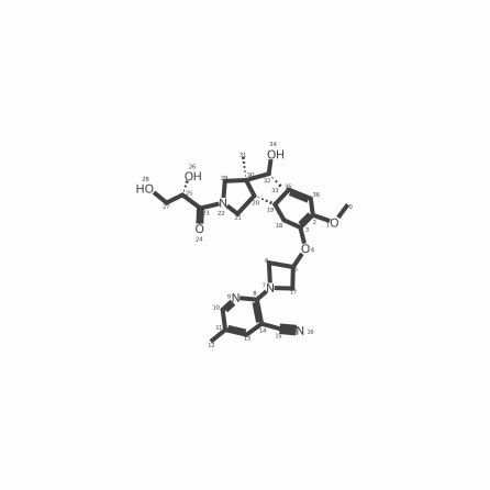 COC1=C(OC2CN(c3ncc(C)cc3C#N)C2)CC([C@@H]2CN(C(=O)[C@@H](O)CO)C[C@@]2(C)[C@@H](C)O)C=C1